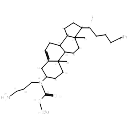 CC(C)CCC[C@@H](C)C1CCC2C3CC=C4CC(N(CCCN)C(=O)OC(C)(C)C)CCC4(C)C3CCC21C